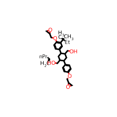 C=CCCC.CCC(C)(C)c1cc(C2CC(CO)C(c3ccc(OCC4CO4)cc3)CC2CO)ccc1OCC1CO1